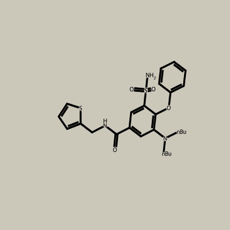 CCCCN(CCCC)c1cc(C(=O)NCc2cccs2)cc(S(N)(=O)=O)c1Oc1ccccc1